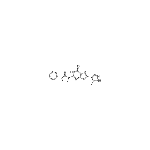 Cc1[nH]ncc1-c1cc2nc(C3CC[C@H](c4ccccc4)N3)[nH]c(=O)c2s1